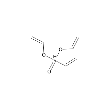 C=CO[SH](=O)(C=C)OC=C